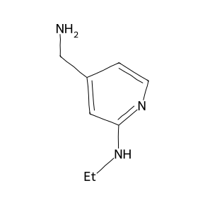 CCNc1cc(CN)ccn1